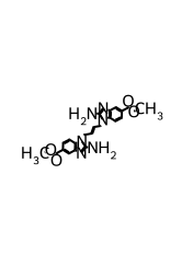 COC(=O)c1ccc2c(c1)nc(N)n2C/C=C/Cn1c(N)nc2cc(C(=O)OC)ccc21